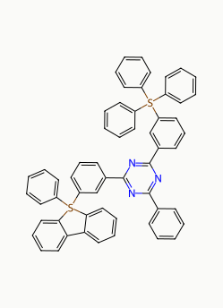 c1ccc(-c2nc(-c3cccc(S(c4ccccc4)(c4ccccc4)c4ccccc4)c3)nc(-c3cccc(S4(c5ccccc5)c5ccccc5-c5ccccc54)c3)n2)cc1